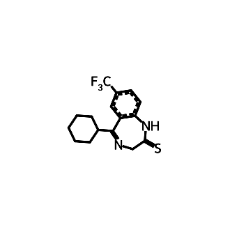 FC(F)(F)c1ccc2c(c1)C(C1CCCCC1)=NCC(=S)N2